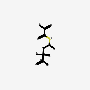 C=C(C)C(=C)SC(C)CC(C)(C)C(=C)C